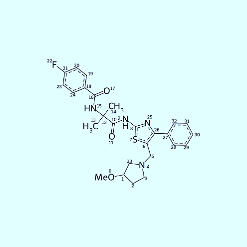 COC1CCN(Cc2sc(NC(=O)C(C)(C)NC(=O)c3ccc(F)cc3)nc2-c2ccccc2)C1